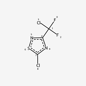 FC(F)(Cl)c1nsc(Cl)n1